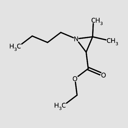 CCCCN1C(C(=O)OCC)C1(C)C